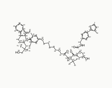 Cc1ncsc1-c1ccc(CNC(=O)[C@@H]2C[C@@H](O)CN2C(=O)[C@@H](NC(=O)COCCCCCOc2cc(F)c([C@@H]3c4[nH]c5ccccc5c4C[C@@H](C)N3CC(F)(F)CO)c(F)c2)C(C)(C)C)cc1